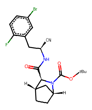 CC(C)(C)OC(=O)N1[C@@H]2CC[C@@H](C2)[C@H]1C(=O)N[C@H](C#N)Cc1cc(Br)ccc1F